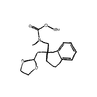 CN(CC1(CC2OCCO2)CCc2ccccc21)C(=O)OC(C)(C)C